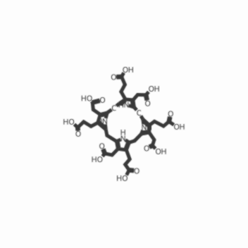 O=C(O)CCc1c2[nH]c(c1CC(=O)O)Cc1[nH]c(c(CC(=O)O)c1CCC(=O)O)Cc1[nH]c(c(CC(=O)O)c1CCC(=O)O)Cc1[nH]c(c(CC(=O)O)c1CCC(=O)O)C2